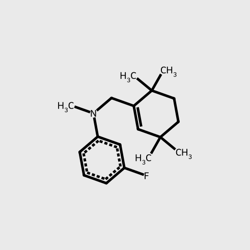 CN(CC1=CC(C)(C)CCC1(C)C)c1cccc(F)c1